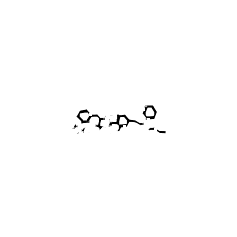 CCCCP(CCc1cc(Cl)c(C(=O)NC(Cc2cccc(S(C)(=O)=O)c2)C(=O)O)c(Cl)c1)c1cccc(O)c1